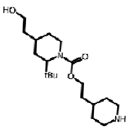 CC(C)(C)C1CC(CCO)CCN1C(=O)OCCC1CCNCC1